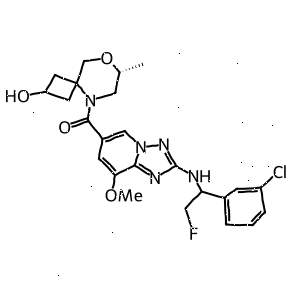 COc1cc(C(=O)N2C[C@@H](C)OCC23CC(O)C3)cn2nc(NC(CF)c3cccc(Cl)c3)nc12